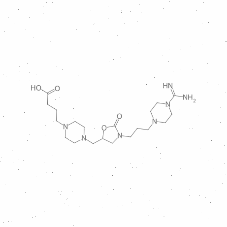 N=C(N)N1CCN(CCCN2CC(CN3CCN(CCCC(=O)O)CC3)OC2=O)CC1